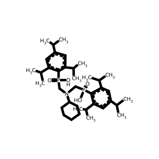 CC(C)c1cc(C(C)C)c(P(=O)(O)CN(CP(=O)(O)c2c(C(C)C)cc(C(C)C)cc2C(C)C)C2CCCCC2)c(C(C)C)c1